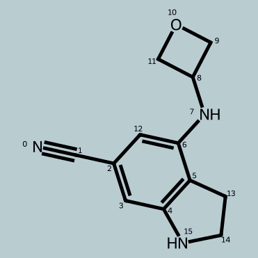 N#Cc1cc2c(c(NC3COC3)c1)CCN2